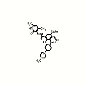 CCc1c(C(=O)NCc2c(C)cc(C)[nH]c2=O)cc(NC)c(C=N)c1N(CC)C1CCC(N2CCN(C)CC2)CC1